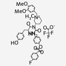 COc1ccc(C[N+]2(C)CCC[C@H](N(C(=O)Nc3ccc(OS(=O)(=O)c4ccc(F)cc4)cc3)C(=O)[C@@H](N)Cc3ccc(O)cc3)C2)cc1OC.O=C([O-])C(F)(F)F